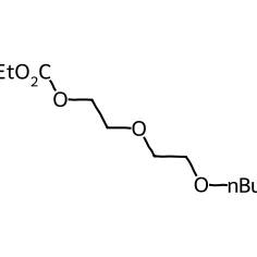 CCCCOCCOCCOC(=O)OCC